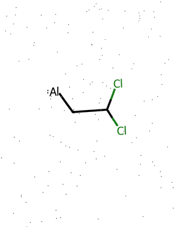 [Al][CH2]C(Cl)Cl